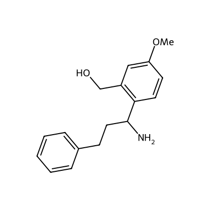 COc1ccc(C(N)CCc2ccccc2)c(CO)c1